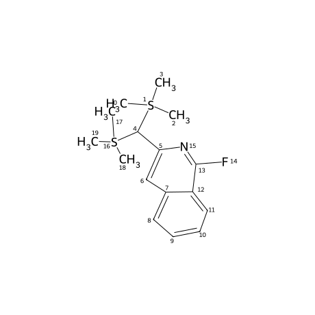 CS(C)(C)C(c1cc2ccccc2c(F)n1)S(C)(C)C